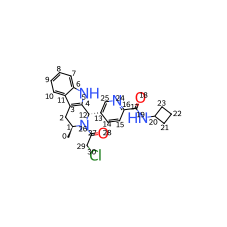 C[C@H]1Cc2c([nH]c3ccccc23)[C@H](c2ccc(C(=O)NC3CCC3)nc2)N1C(=O)CCl